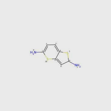 NC1=CC=C2SC(N)C=C2S1